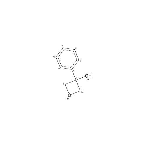 OC1(c2ccccc2)COC1